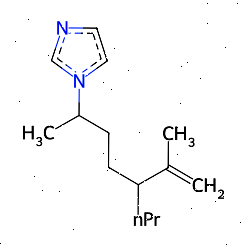 C=C(C)C(CCC)CCC(C)n1ccnc1